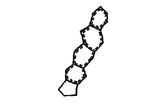 c1ccc2cc3cc4cc5c(cc4cc3cc2c1)CCC5